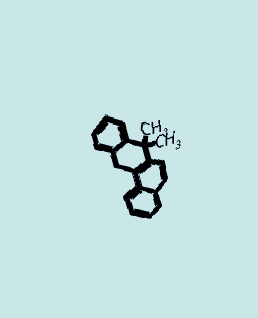 CC1(C)c2ccccc2Cc2c1ccc1ccccc21